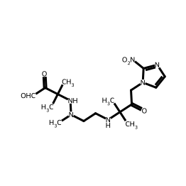 CN(CCNC(C)(C)C(=O)Cn1ccnc1[N+](=O)[O-])NC(C)(C)C(=O)C=O